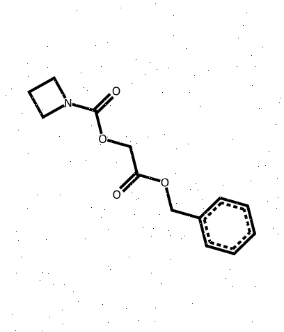 O=C(COC(=O)N1CCC1)OCc1ccccc1